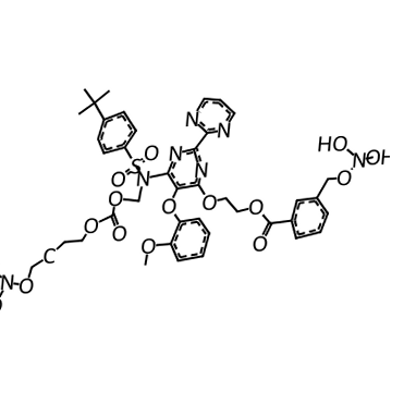 COc1ccccc1Oc1c(OCCOC(=O)c2cccc(CON(O)O)c2)nc(-c2ncccn2)nc1N(COC(=O)OCCCCON(O)O)S(=O)(=O)c1ccc(C(C)(C)C)cc1